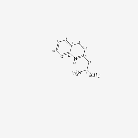 [CH2][C@H](N)[CH]c1ccc2ccccc2n1